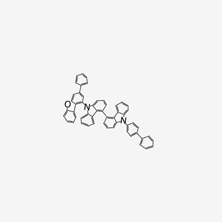 c1ccc(-c2ccc(-n3c4ccccc4c4c(-c5cccc6c5c5ccccc5n6-c5cc(-c6ccccc6)cc6oc7ccccc7c56)cccc43)cc2)cc1